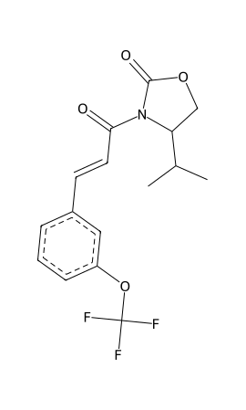 CC(C)C1COC(=O)N1C(=O)C=Cc1cccc(OC(F)(F)F)c1